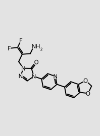 NCC(Cn1ncn(-c2ccc(-c3ccc4c(c3)OCO4)nc2)c1=O)=C(F)F